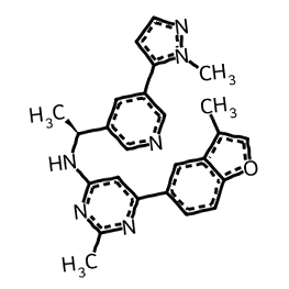 Cc1nc(N[C@@H](C)c2cncc(-c3ccnn3C)c2)cc(-c2ccc3occ(C)c3c2)n1